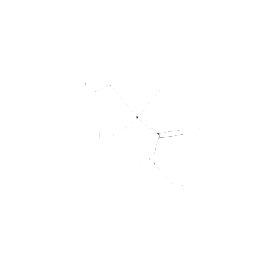 CC(C)NC(=O)C(C)(C)CO